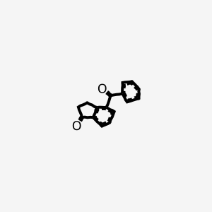 O=C1CCc2c1cccc2C(=O)c1ccccc1